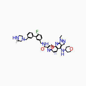 CCc1nc2c(cnn2CC)c(NC2CCOCC2)c1/C=C\c1nc(C(=O)NCc2ccc(F)c(-c3cccc(CN4CCN[C@@H](C)C4)c3)c2)co1